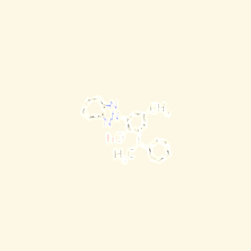 Cc1cc(C(C)c2ccccc2)c(O)c(-n2nc3ccccc3n2)c1